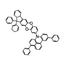 C1=CC2c3cc4c(cc3C(C3=CCCC=C3)(c3ccccc3)C2C=C1)Oc1cc(N(c2ccc(-c3ccccc3)cc2)c2ccc(-c3ccccc3)cc2-c2ccccc2)ccc1O4